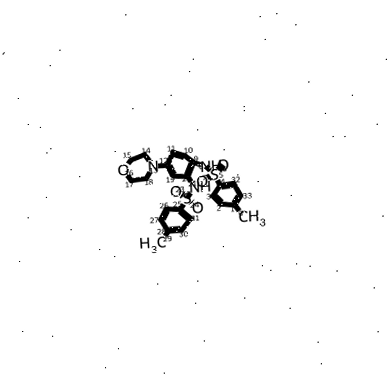 Cc1ccc(S(=O)(=O)Nc2ccc(N3CCOCC3)cc2NS(=O)(=O)c2ccc(C)cc2)cc1